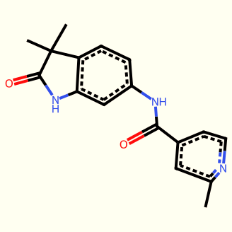 Cc1cc(C(=O)Nc2ccc3c(c2)NC(=O)C3(C)C)ccn1